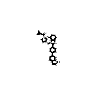 N#Cc1cccc2nc(-c3ccc(-c4ccc5cc[nH]c5c4)cc3)n(C[C@H]3CCN(C(=O)C4CC4)C3)c12